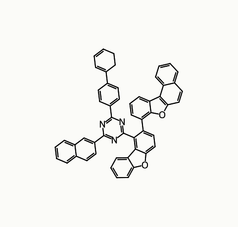 C1=CCCC(c2ccc(-c3nc(-c4ccc5ccccc5c4)nc(-c4c(-c5cccc6c5oc5ccc7ccccc7c56)ccc5oc6ccccc6c45)n3)cc2)=C1